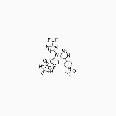 CC(C)C(=O)N1CCC(c2ncnc3c2c2cc(F)c(S(=O)(=O)NC4(C#N)CC4)cc2n3-c2nnc(C(F)F)s2)CC1